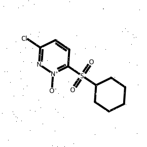 O=S(=O)(c1ccc(Cl)n[n+]1[O-])C1CCCCC1